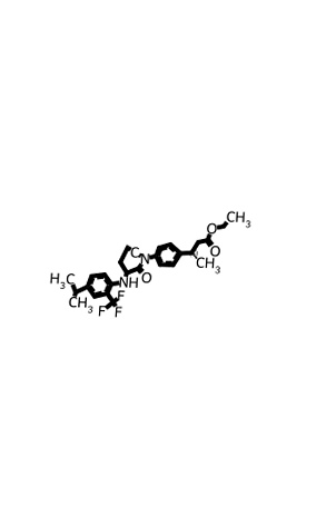 CCOC(=O)C[C@H](C)c1ccc(N2CCCC(Nc3ccc(C(C)C)cc3C(F)(F)F)C2=O)cc1